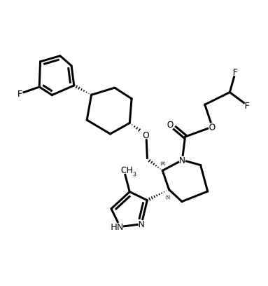 Cc1c[nH]nc1[C@H]1CCCN(C(=O)OCC(F)F)[C@H]1CO[C@H]1CC[C@@H](c2cccc(F)c2)CC1